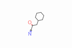 N#CC(=O)CC1CCCCC1